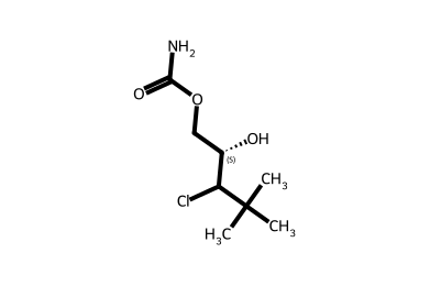 CC(C)(C)C(Cl)[C@@H](O)COC(N)=O